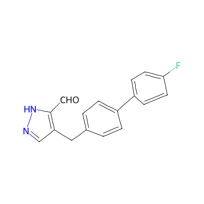 O=Cc1[nH]ncc1Cc1ccc(-c2ccc(F)cc2)cc1